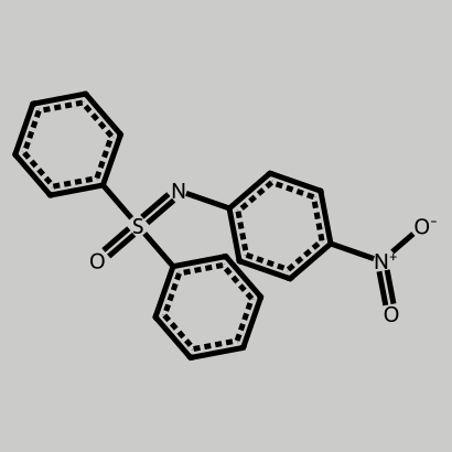 O=[N+]([O-])c1ccc(N=S(=O)(c2ccccc2)c2ccccc2)cc1